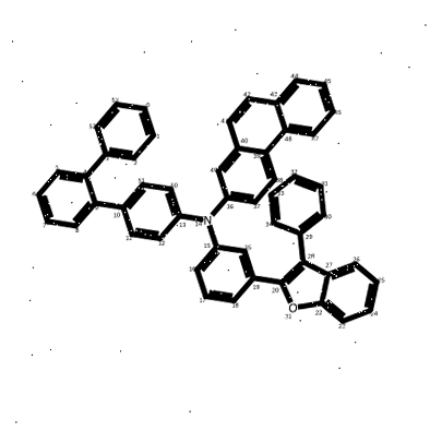 c1ccc(-c2ccccc2-c2ccc(N(c3cccc(-c4oc5ccccc5c4-c4ccccc4)c3)c3ccc4c(ccc5ccccc54)c3)cc2)cc1